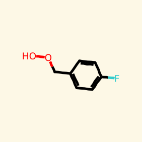 OOCc1ccc(F)cc1